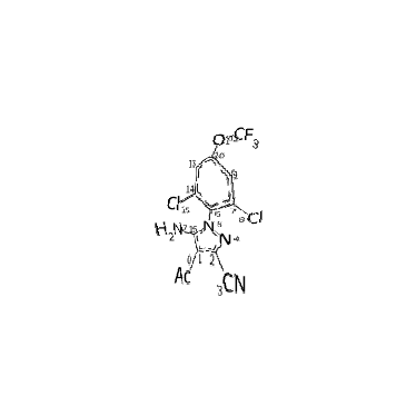 CC(=O)c1c(C#N)nn(-c2c(Cl)cc(OC(F)(F)F)cc2Cl)c1N